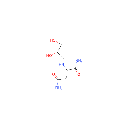 NC(=O)C[C@H](NCC(O)CO)C(N)=O